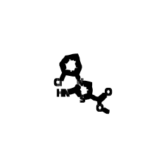 COC(=O)c1cn(-c2ccccc2Cl)c(=N)s1